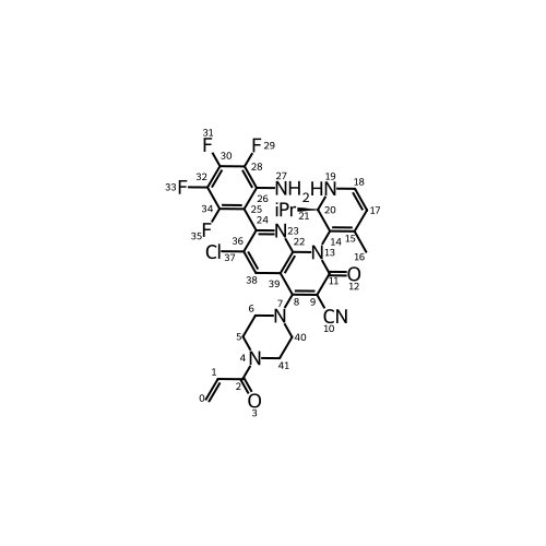 C=CC(=O)N1CCN(c2c(C#N)c(=O)n(C3=C(C)C=CN[C@@H]3C(C)C)c3nc(-c4c(N)c(F)c(F)c(F)c4F)c(Cl)cc23)CC1